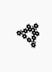 c1ccc(-n2c(-c3ccc(-c4ccc(-c5nc6ccccc6nc5-c5ccc(-c6ccc(-c7nc8ccccc8n7-c7ccccc7)cc6)c6ccccc56)c5ccccc45)cc3)nc3ccccc32)cc1